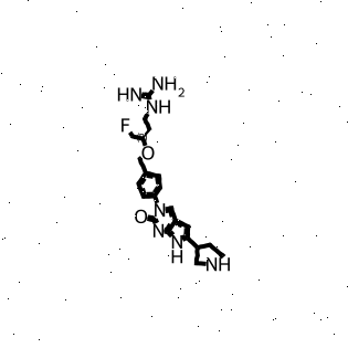 N=C(N)NCC[C@H](CF)OCc1ccc(-n2cc3cc(C4CCNC4)[nH]c3nc2=O)cc1